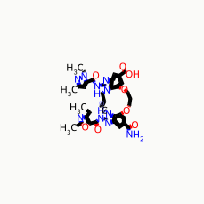 CCc1nc(C)oc1C(=O)Nc1nc2cc(C(N)=O)cc3c2n1C/C=C/Cn1c(NC(=O)c2cc(C)nn2CC)nc2cc(C(=O)O)cc(c21)OCCCO3